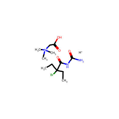 CCC(Br)(CC)C(=O)NC(N)=O.C[N+](C)(C)CC(=O)O.[H+]